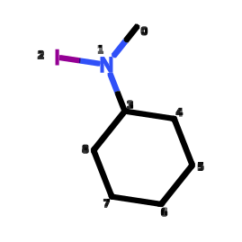 CN(I)C1CCCCC1